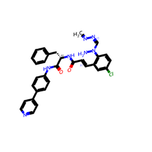 C=N/N=C\N(N)c1ccc(Cl)cc1/C=C/C(=O)N[C@@H](Cc1ccccc1)C(=O)Nc1ccc(-c2ccncc2)cc1